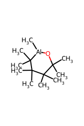 [CH3][Al]1[O]C(C)(C)C(C)(C)C(C)(C)[C]1(C)C